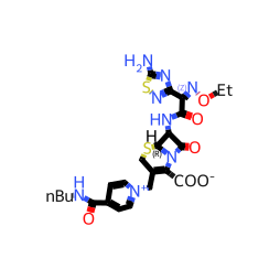 CCCCNC(=O)c1cc[n+](CC2=C(C(=O)[O-])N3C(=O)C(NC(=O)/C(=N\OCC)c4nsc(N)n4)[C@H]3SC2)cc1